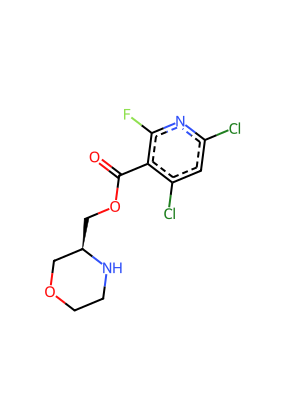 O=C(OC[C@@H]1COCCN1)c1c(Cl)cc(Cl)nc1F